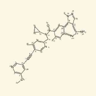 COc1cncc(C#Cc2cnc(CN(C(=O)c3cc4c(cc3F)nc(N)c3cnn(C)c34)C3CC3)cc2C)c1